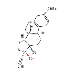 C#C[C@]1(O)CC[C@H]2[C@@H]3CCC4=C(CC=C(OC)C4)[C@H]3CC[C@@]21CC